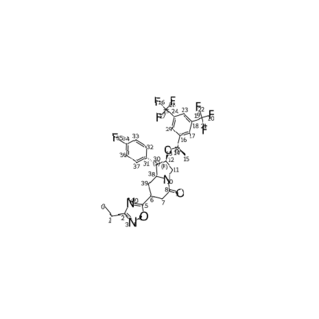 CCc1noc(C2CC(=O)N3C[C@H](O[C@H](C)c4cc(C(F)(F)F)cc(C(F)(F)F)c4)[C@@H](c4ccc(F)cc4)C3C2)n1